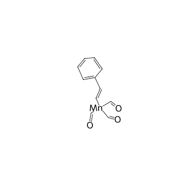 O=[CH][Mn]([CH]=O)([CH]=O)[CH]=Cc1ccccc1